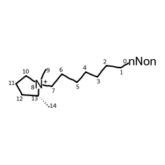 CCCCCCCCCCCCCCCC[N+]1(C)CCC[C@H]1C